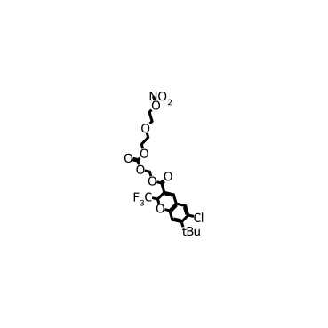 CC(C)(C)c1cc2c(cc1Cl)C=C(C(=O)OCOC(=O)OCCOCCO[N+](=O)[O-])C(C(F)(F)F)O2